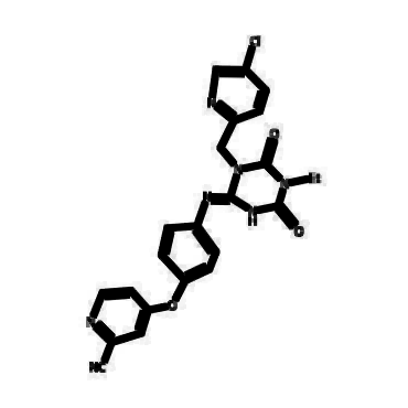 CCn1c(=O)[nH]/c(=N\c2ccc(Oc3ccnc(C#N)c3)cc2)n(Cc2ccc(Cl)cn2)c1=O